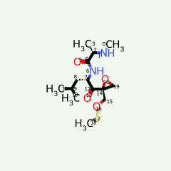 CN[C@@H](C)C(=O)N[C@@H](CC(C)C)C(=O)[C@@]1(COSC)CO1